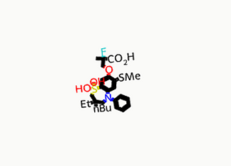 CCCCC1(CC)CN(c2ccccc2)c2cc(SC)c(OCC(C)(F)C(=O)O)cc2S(O)(O)C1